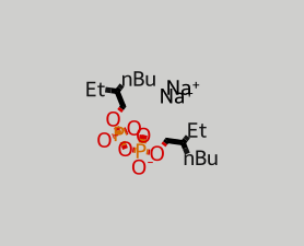 CCCCC(CC)COP(=O)([O-])OP(=O)([O-])OCC(CC)CCCC.[Na+].[Na+]